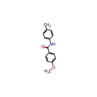 [CH2]c1ccc(NC(=O)c2ccc(OC)cc2)cc1